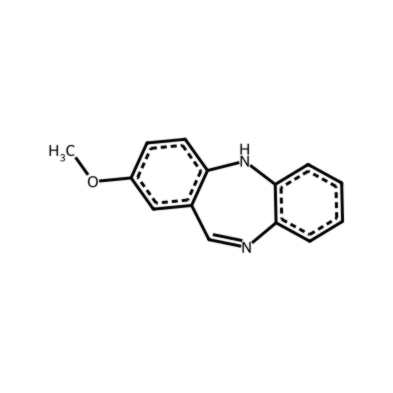 COc1ccc2c(c1)C=Nc1ccccc1N2